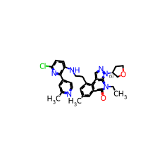 CCn1c(=O)c2cc(C)cc(CCNc3ccc(Cl)nc3-c3ccnc(C)c3)c2c2cnn([C@H]3CCOC3)c21